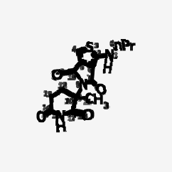 CCCNc1scc2c1C(=O)N([C@@]1(C)CCC(=O)NC1=O)C2=O